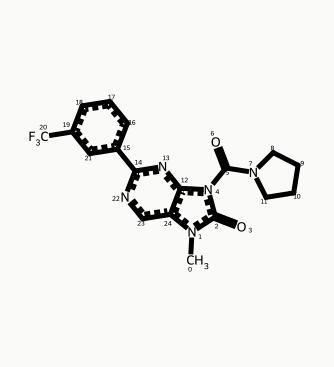 Cn1c(=O)n(C(=O)N2CCCC2)c2nc(-c3cccc(C(F)(F)F)c3)ncc21